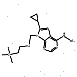 CCCCNc1ncnc2c1nc(C1CC1)n2COCC[Si](C)(C)C